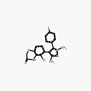 Cc1nn(C)c(-c2ccc(F)cc2)c1-c1ccc2c(c1Cl)NC(=O)CO2